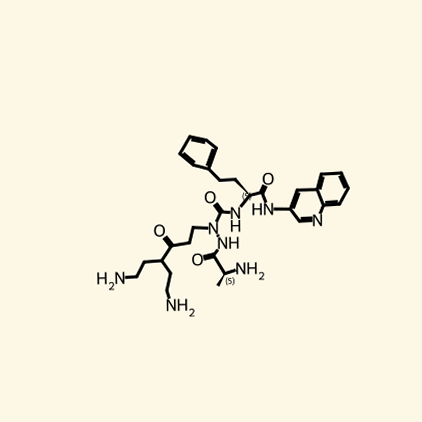 C[C@H](N)C(=O)NN(CCC(=O)C(CCN)CCN)C(=O)N[C@@H](CCc1ccccc1)C(=O)Nc1cnc2ccccc2c1